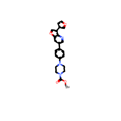 CC(C)(C)OC(=O)N1CCN(c2ccc(-c3cnc4c(-c5ccoc5)coc4c3)cc2)CC1